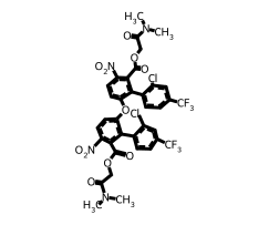 CN(C)C(=O)COC(=O)c1c([N+](=O)[O-])ccc(Oc2ccc([N+](=O)[O-])c(C(=O)OCC(=O)N(C)C)c2-c2ccc(C(F)(F)F)cc2Cl)c1-c1ccc(C(F)(F)F)cc1Cl